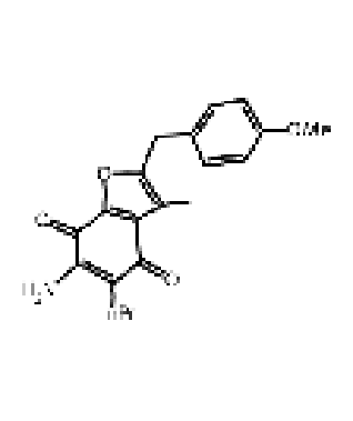 CCCC1=C(N)C(=O)c2oc(Cc3ccc(OC)cc3)c(C)c2C1=O